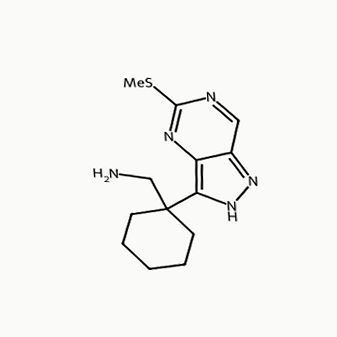 CSc1ncc2n[nH]c(C3(CN)CCCCC3)c2n1